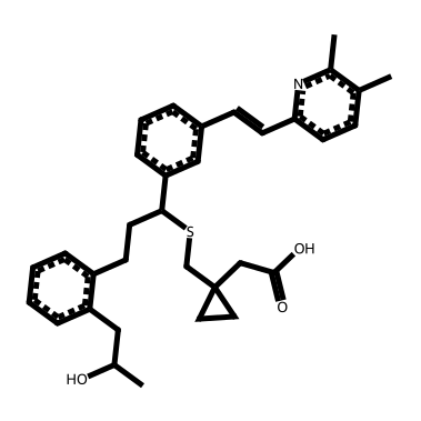 Cc1ccc(C=Cc2cccc(C(CCc3ccccc3CC(C)O)SCC3(CC(=O)O)CC3)c2)nc1C